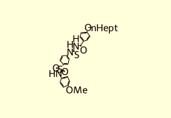 CCCCCCCOc1ccc(C(=O)NC(=S)Nc2ccc(S(=O)(=O)Nc3ccc(OC)cc3)cc2)cc1